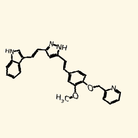 COc1cc(C=Cc2cc(C=Cc3c[nH]c4ccccc34)n[nH]2)ccc1OCc1ccccn1